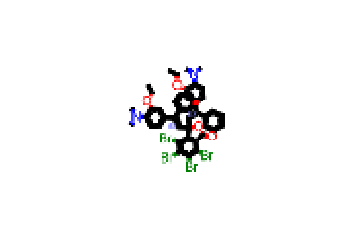 CCOc1cc(/C(=C/C2(/C=C(\c3ccccc3)c3ccc(N(C)C)c(OCC)c3)OC(=O)c3c(Br)c(Br)c(Br)c(Br)c32)c2ccccc2)ccc1N(C)C